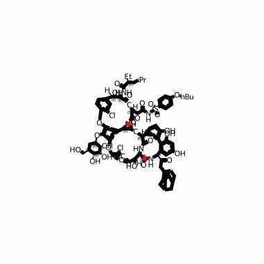 CCCCOc1ccc(S(=O)(=O)NC(=O)C[C@@H]2CC(=O)[C@H](NC(=O)[C@H](CC)CC(C)C)[C@H](O)c3ccc(c(Cl)c3)Oc3cc4cc(c3O[C@@H]3C[C@H](CO)[C@@H](O)[C@H](O)[C@H]3O)Oc3ccc(cc3Cl)[C@@H](O)[C@@H]3NC(=O)[C@H](CC(=O)[C@@H]4NC2=O)c2ccc(O)c(c2)-c2c(O)cc(O)cc2[C@@H](C(=O)CC2C4CC5CC(C4)CC2C5)NC3=O)cc1